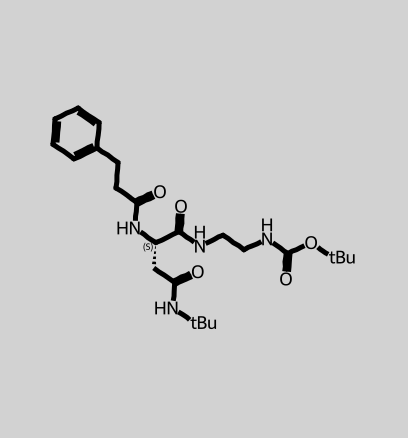 CC(C)(C)NC(=O)C[C@H](NC(=O)CCc1ccccc1)C(=O)NCCNC(=O)OC(C)(C)C